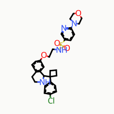 O=S(=O)(NCCOc1ccc2c(c1)C(C1(c3ccc(Cl)cc3)CCC1)NCC2)c1ccc(N2CCOCC2)nc1